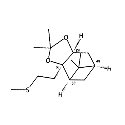 CSCC[C@]12OC(C)(C)O[C@H]1C[C@H]1C[C@@H]2C1(C)C